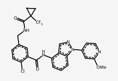 COc1cc(-n2ncc3c(NC(=O)c4cc(CNC(=O)C5(C(F)(F)F)CC5)ccc4Cl)cccc32)ccn1